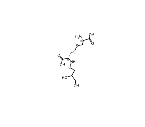 N[C@@H](CSSC[C@H](NOCC(O)CO)C(=O)O)C(=O)O